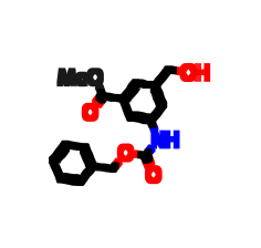 COC(=O)c1cc(CO)cc(NC(=O)OCc2ccccc2)c1